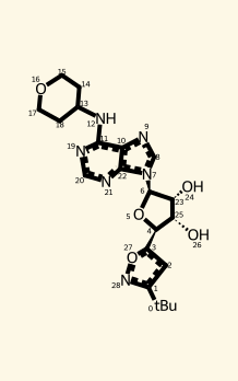 CC(C)(C)c1cc([C@H]2O[C@@H](n3cnc4c(NC5CCOCC5)ncnc43)[C@H](O)[C@@H]2O)on1